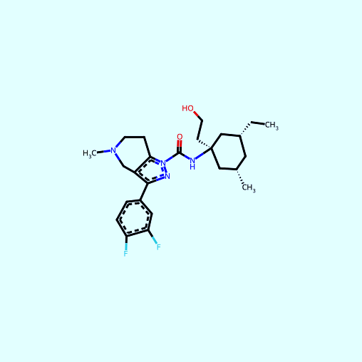 CC[C@@H]1C[C@H](C)C[C@@](CCO)(NC(=O)n2nc(-c3ccc(F)c(F)c3)c3c2CCN(C)C3)C1